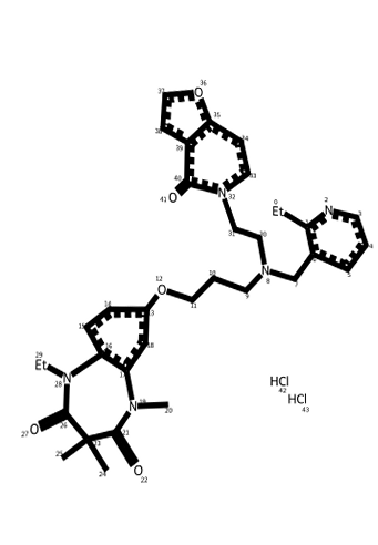 CCc1ncccc1CN(CCCOc1ccc2c(c1)N(C)C(=O)C(C)(C)C(=O)N2CC)CCn1ccc2occc2c1=O.Cl.Cl